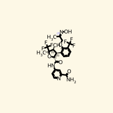 C/C(COc1c([C@H]2[C@H](C(=O)Nc3ccnc(C(N)=O)c3)O[C@@](C)(C(F)(F)F)[C@H]2C)cccc1C(F)(F)F)=N/O